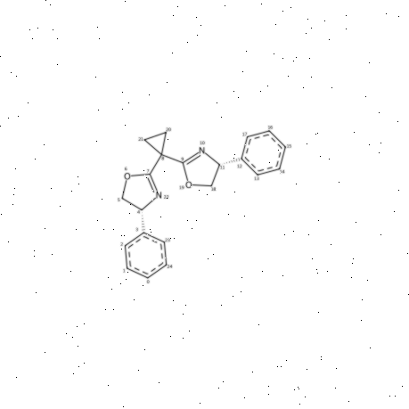 c1ccc([C@@H]2COC(C3(C4=N[C@H](c5ccccc5)CO4)CC3)=N2)cc1